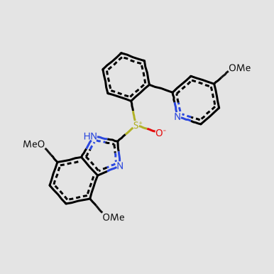 COc1ccnc(-c2ccccc2[S+]([O-])c2nc3c(OC)ccc(OC)c3[nH]2)c1